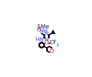 CSONCc1nc(C2CC2)cnc1Nc1cccc(C2=CCOCC2)c1OCC(F)(F)F